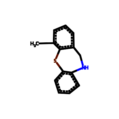 Cc1cccc2c1Sc1ccccc1NC2